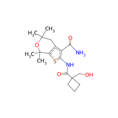 CC1(C)Cc2c(sc(NC(=O)C3(CO)CCC3)c2C(N)=O)C(C)(C)O1